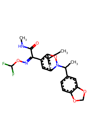 CNC(=O)C(=NOC(F)F)c1cc2cc(C)c1ON2C(C)c1ccc2c(c1)OCO2